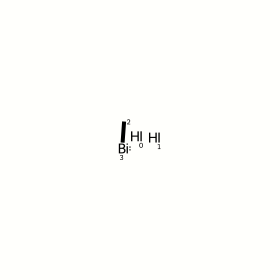 I.I.[CH3][Bi]